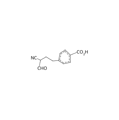 N#CC(C=O)CCc1ccc(C(=O)O)cc1